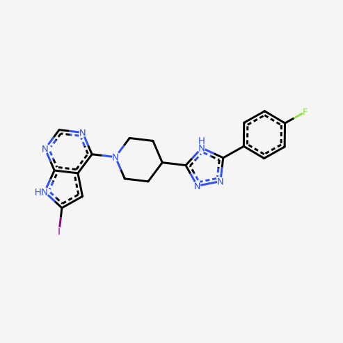 Fc1ccc(-c2nnc(C3CCN(c4ncnc5[nH]c(I)cc45)CC3)[nH]2)cc1